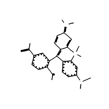 CN(C)c1ccc2c(c1)[Si](C)(C)C1=CC(=[N+](C)C)C=CC1=C2c1cc(C(=O)O)ccc1C(=O)O